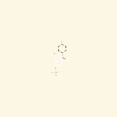 Cc1ccc(C(=O)NOCC(C)(C)O)c(C(F)(F)F)c1